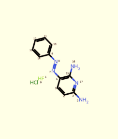 Cl.F.Nc1ccc(/N=N/c2ccccc2)c(N)n1